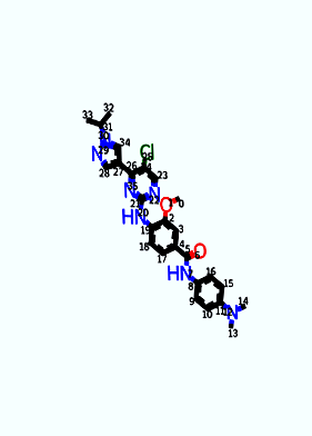 COc1cc(C(=O)Nc2ccc(N(C)C)cc2)ccc1Nc1ncc(Cl)c(-c2cnn(C(C)C)c2)n1